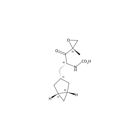 C[C@]1(C(=O)[C@@H](C[C@@H]2C[C@@H]3C[C@@H]3C2)NC(=O)O)CO1